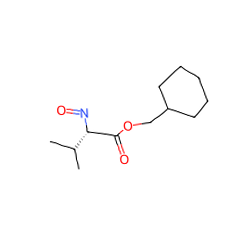 CC(C)[C@H](N=O)C(=O)OCC1CCCCC1